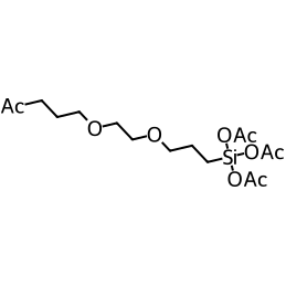 CC(=O)CCCOCCOCCC[Si](OC(C)=O)(OC(C)=O)OC(C)=O